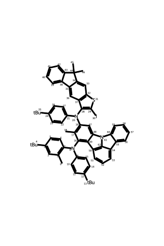 Cc1cc(C(C)(C)C)ccc1N(c1ccc(C(C)(C)C)cc1)c1c(C)c(N(c2ccc(C(C)(C)C)cc2)c2c(I)sc3cc4c(cc23)-c2ccccc2C4(C)C)cc2c1c1cccc3c4ccccc4n2c31